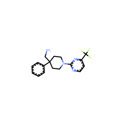 NCC1(c2ccccc2)CCN(c2nccc(C(F)(F)F)n2)CC1